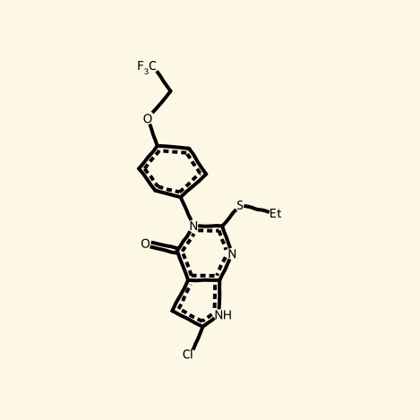 CCSc1nc2[nH]c(Cl)cc2c(=O)n1-c1ccc(OCC(F)(F)F)cc1